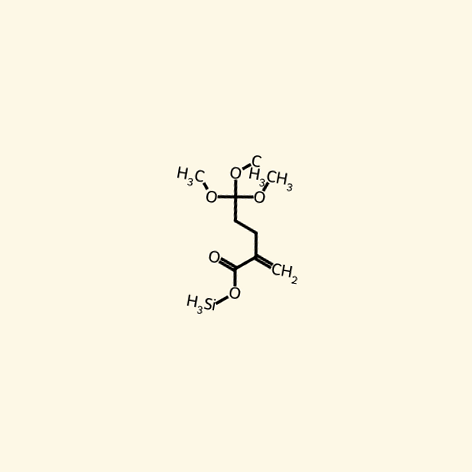 C=C(CCC(OC)(OC)OC)C(=O)O[SiH3]